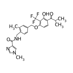 Cc1cc(COc2ccc(C(=O)C(C)C)c(O)c2C(F)(F)F)ccc1CNC(=O)c1cn(C)cn1